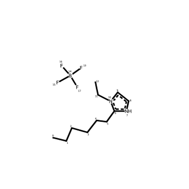 CCCCCCc1[nH]cc[n+]1CC.F[B-](F)(F)F